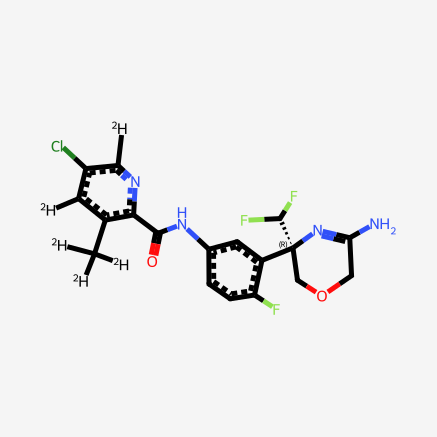 [2H]c1nc(C(=O)Nc2ccc(F)c([C@]3(C(F)F)COCC(N)=N3)c2)c(C([2H])([2H])[2H])c([2H])c1Cl